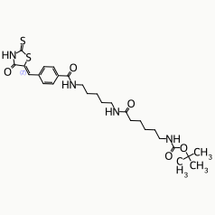 CC(C)(C)OC(=O)NCCCCCC(=O)NCCCCCNC(=O)c1ccc(/C=C2\SC(=S)NC2=O)cc1